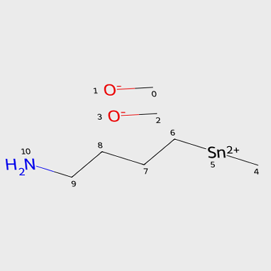 C[O-].C[O-].[CH3][Sn+2][CH2]CCCN